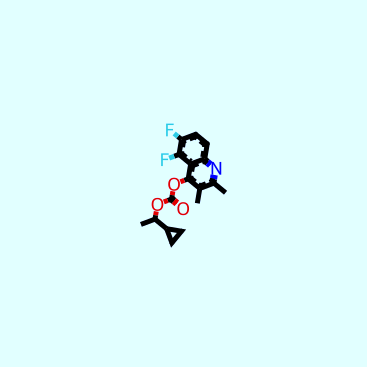 Cc1nc2ccc(F)c(F)c2c(OC(=O)OC(C)C2CC2)c1C